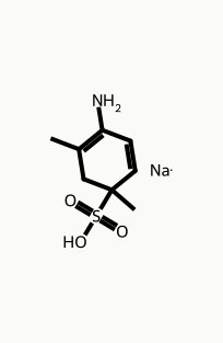 CC1=C(N)C=CC(C)(S(=O)(=O)O)C1.[Na]